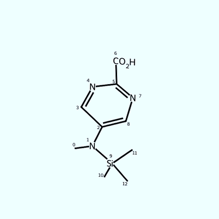 CN(c1cnc(C(=O)O)nc1)[Si](C)(C)C